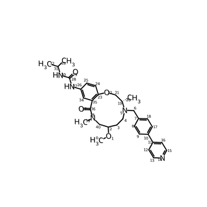 COC1CCN(Cc2ccc(-c3ccncc3)cc2)[C@@H](C)COc2ccc(NC(=O)NC(C)C)cc2C(=O)N(C)C1